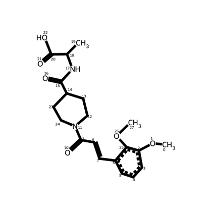 COc1cccc(C=CC(=O)N2CCC(C(=O)NC(C)C(=O)O)CC2)c1OC